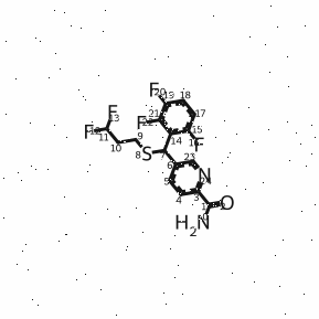 NC(=O)c1ccc(C(SCCC(F)F)c2c(F)ccc(F)c2F)cn1